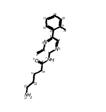 C=C/N=C(\C=N/CNC(=O)CCCCN)c1ccccc1C